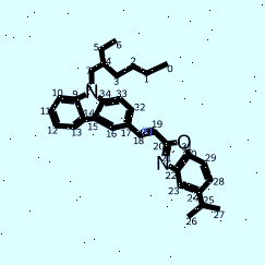 CCCCC(CC)Cn1c2ccccc2c2cc(/C=C/c3nc4cc(C(C)C)ccc4o3)ccc21